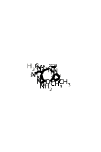 Cc1ccc2c(c1)[C@@H](C)Oc1cc(nnc1N)-c1c(nn(C)c1C#N)CN1CC=NN21